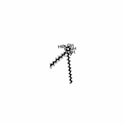 CCCCCCCCCCCCCCCCCC(=O)N(CCCCCCCCCCCC)[C@@H]1O[C@H](CO)[C@@H](O)[C@H](O)[C@H]1O